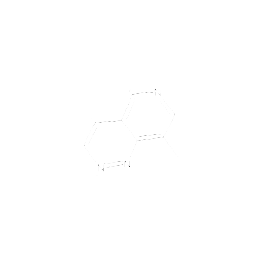 Cc1cncc2ccnnc12